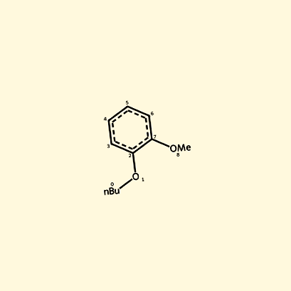 CCCCOc1ccccc1OC